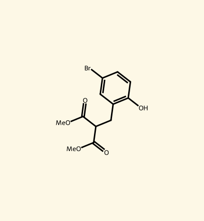 COC(=O)C(Cc1cc(Br)ccc1O)C(=O)OC